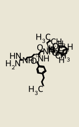 CCCCc1ccc(C(=O)N[C@@H](CCCNC(=N)N)C(=O)N[C@@H](CC(C)C)B2O[C@@H]3C[C@@H]4C[C@@H](C4(C)C)[C@]3(C)O2)cc1